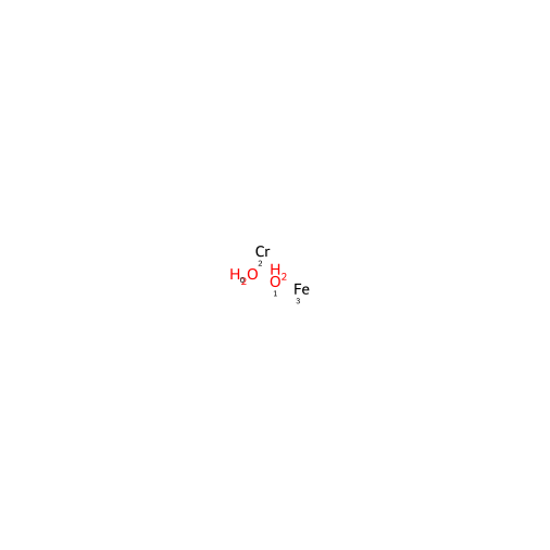 O.O.[Cr].[Fe]